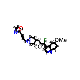 COc1ccc2nccc(C(F)CC[C@@H]3CCN(CC#Cc4ncco4)C[C@@H]3C(=O)O)c2c1